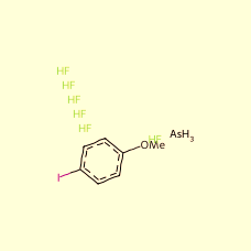 COc1ccc(I)cc1.F.F.F.F.F.F.[AsH3]